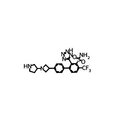 NS(=O)(=O)c1c(C(F)(F)F)ccc(-c2ccc(C3CN(C4CCNC4)C3)cc2)c1-c1nnn[nH]1